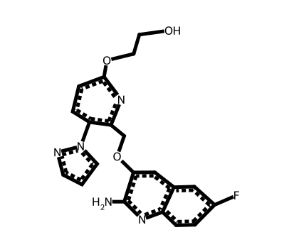 Nc1nc2ccc(F)cc2cc1OCc1nc(OCCO)ccc1-n1cccn1